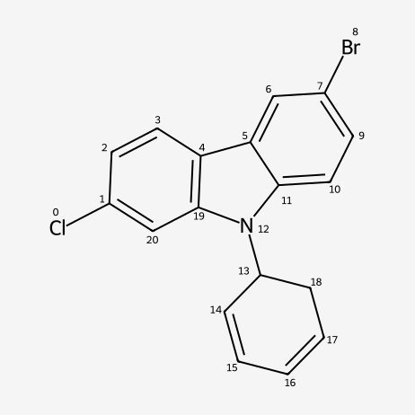 Clc1ccc2c3cc(Br)ccc3n(C3C=CC=CC3)c2c1